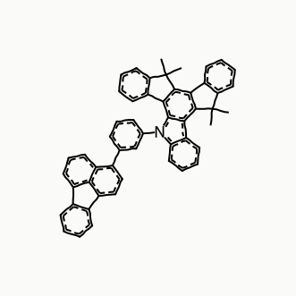 CC1(C)c2ccccc2-c2c1c1c(c3c4ccccc4n(-c4cccc(-c5ccc6c7c(cccc57)-c5ccccc5-6)c4)c23)C(C)(C)c2ccccc2-1